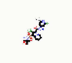 CC1(NS(=O)(=O)c2c(Cl)c(C(=O)Nc3cc(F)nc(C#N)c3)n3c2C=CCC3)COC1